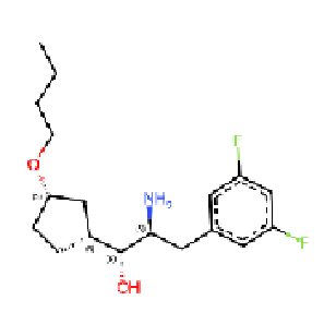 CCCCO[C@H]1CC[C@@H]([C@@H](O)[C@@H](N)Cc2cc(F)cc(F)c2)C1